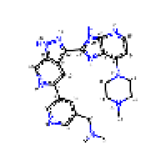 CN(C)Cc1cncc(-c2cc3c(-c4nc5c(N6CCN(C)CC6)ccnc5[nH]4)n[nH]c3cn2)c1